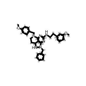 COc1ccc(CN2CCC3NN(Cc4ccccc4)c4nc(NCCc5cccc(OC)c5)nc2c43)cc1